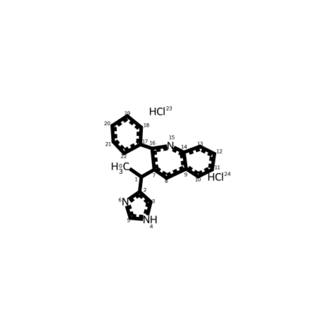 CC(c1c[nH]cn1)c1cc2ccccc2nc1-c1ccccc1.Cl.Cl